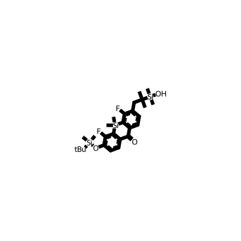 CC(C)(Cc1ccc2c(c1F)[Si](C)(C)c1c(ccc(O[Si](C)(C)C(C)(C)C)c1F)C2=O)[Si](C)(C)O